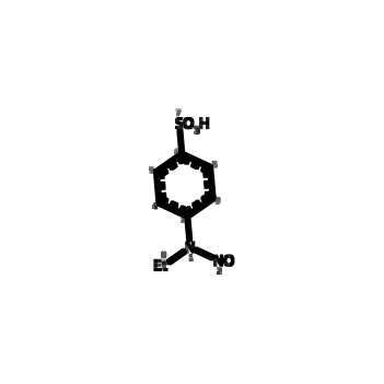 CCN(N=O)c1ccc(S(=O)(=O)O)cc1